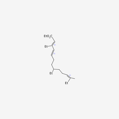 CCOC(=O)/C=C(/C=C/CCC(CC)CC/C=C(/C)CC)CC